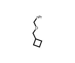 [CH2]CCCOCC1CCC1